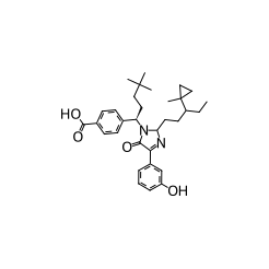 CCC(CCC1N=C(c2cccc(O)c2)C(=O)N1[C@H](CCC(C)(C)C)c1ccc(C(=O)O)cc1)C1(C)CC1